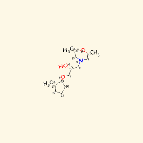 C[C@@H]1CN(C[C@@H](O)CO[C@H]2CCC[C@@H]2C)C[C@H](C)O1